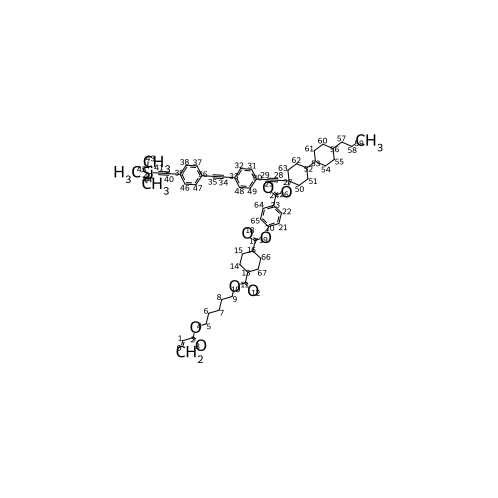 C=CC(=O)OCCCCCOC(=O)C1CCC(C(=O)Oc2ccc(C(=O)OC3(C#Cc4ccc(C#Cc5ccc(C#C[Si](C)(C)C)cc5)cc4)CCC(C4CCC(CCC)CC4)CC3)cc2)CC1